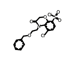 O=C1COc2c(S(=O)(=O)Cl)ccc(Cl)c2N1CCOCc1ccccc1